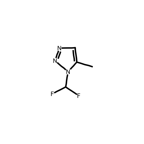 Cc1cnnn1C(F)F